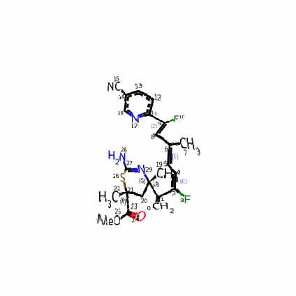 C=C(\C(F)=C/C=C(C)/C=C(\F)c1ccc(C#N)cn1)[C@]1(C)C[C@](C)(C(=O)OC)SC(N)=N1